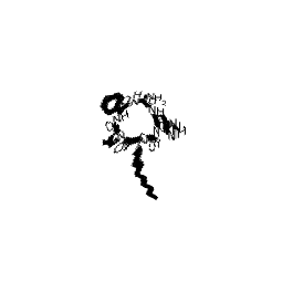 CCCCCCCCCC[C@H]1OC(=O)CNC(=O)[C@H](Cc2c[nH]nn2)NC(=O)[C@H](CN)NC(=O)C(C2CCCCC2)NC(=O)[C@H](CC(C)C)N(C)C(=O)[C@@H]1C